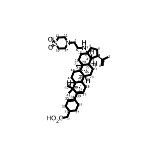 C=C(C)[C@@H]1CC[C@]2(NCCN3CCS(=O)(=O)CC3)CC[C@]3(C)[C@H](CC[C@@H]4[C@@]5(C)CC=C(C6=CCC(CC(=O)O)CC6)C(C)(C)[C@@H]5CC[C@]43C)[C@@H]12